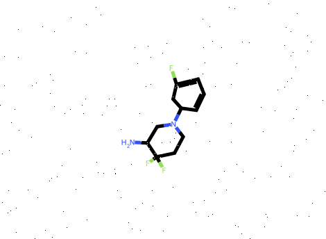 NC1CN(C2C=CC=C(F)C2)CCC1(F)F